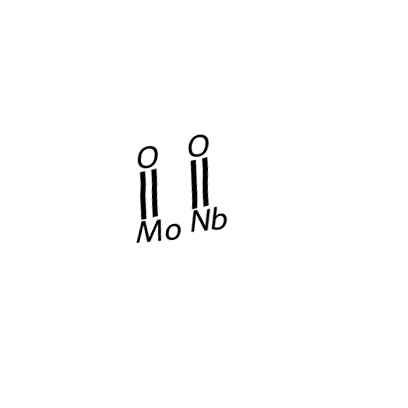 [O]=[Mo].[O]=[Nb]